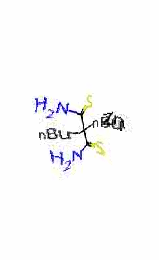 CCCCC(CCCC)(C(N)=S)C(N)=S.[Zn]